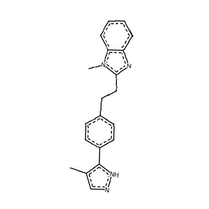 Cc1cn[nH]c1-c1ccc(CCc2nc3ccccc3n2C)cc1